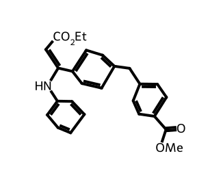 CCOC(=O)C=C(Nc1ccccc1)c1ccc(Cc2ccc(C(=O)OC)cc2)cc1